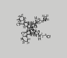 O=C(NCCCCl)Nc1n[nH]c2cc(Cl)c(-c3ccccc3)cc12.O=C(NCCCN1CCC1)Nc1n[nH]c2cc(Cl)c(-c3ccccc3)cc12